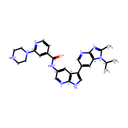 Cc1nc2ncc(-c3c[nH]c4ncc(NC(=O)c5ccnc(N6CCNCC6)c5)cc34)cc2n1C(C)C